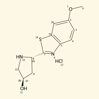 COc1ccc2nc([C@@H]3C[C@@H](O)CN3)sc2c1.Cl